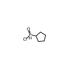 O=[PH](Cl)C1CCCC1